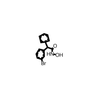 O=C(NO)C(c1ccccc1)c1cccc(Br)c1